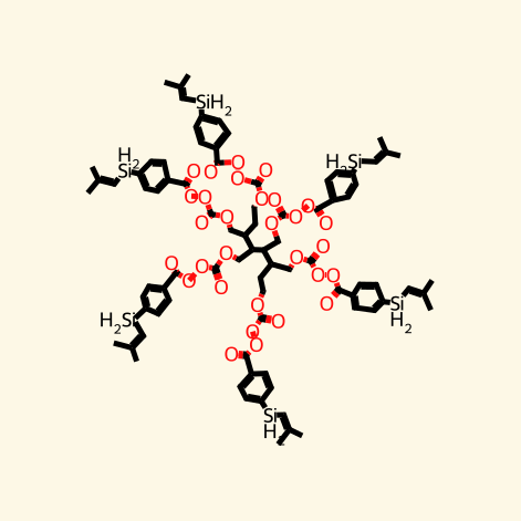 CC(C)=C[SiH2]c1ccc(C(=O)OOC(=O)OCCC(COC(=O)OOC(=O)c2ccc([SiH2]C=C(C)C)cc2)C(COC(=O)OOC(=O)c2ccc([SiH2]C=C(C)C)cc2)C(COC(=O)OOC(=O)c2ccc([SiH2]C=C(C)C)cc2)C(CCOC(=O)OOC(=O)c2ccc([SiH2]C=C(C)C)cc2)COC(=O)OOC(=O)c2ccc([SiH2]C=C(C)C)cc2)cc1